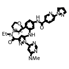 CCN(C(=O)c1cc(Nc2cc(NC(=O)c3ccc(-n4cccn4)nc3)ccc2C)n(-c2cc(NC)ncn2)n1)N1CCOCC1